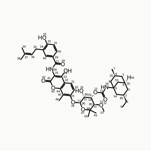 CC[C@@H]1C[C@@H]2C[C@H](C)CC(NC(=O)O[C@H]3[C@@H](O)[C@H](Oc4ccc5c(O)c(NC(=O)c6ccc(O)c(CC=C(C)C)c6)c(=O)oc5c4C)OC(C)(C)[C@@H]3OC)(C1)C2